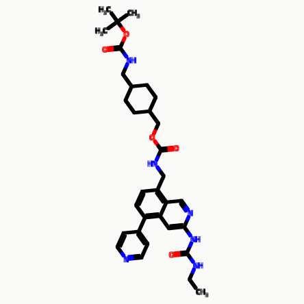 CCNC(=O)Nc1cc2c(-c3ccncc3)ccc(CNC(=O)OCC3CCC(CNC(=O)OC(C)(C)C)CC3)c2cn1